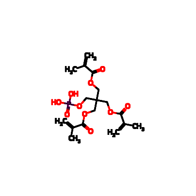 C=C(C)C(=O)OCC(COC(=O)C(=C)C)(COC(=O)C(=C)C)COP(=O)(O)O